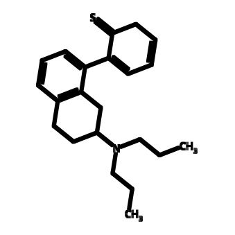 CCCN(CCC)C1CCc2cccc(C3=CC=CCC3=S)c2C1